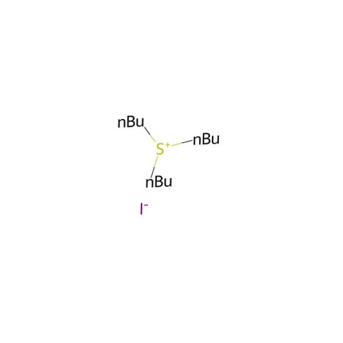 CCCC[S+](CCCC)CCCC.[I-]